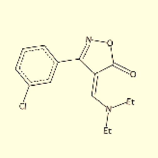 CCN(C=C1C(=O)ON=C1c1cccc(Cl)c1)CC